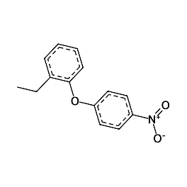 CCc1ccccc1Oc1ccc([N+](=O)[O-])cc1